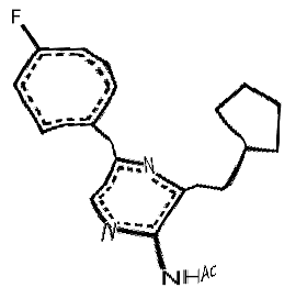 CC(=O)Nc1ncc(-c2ccc(F)cc2)nc1CC1CCCC1